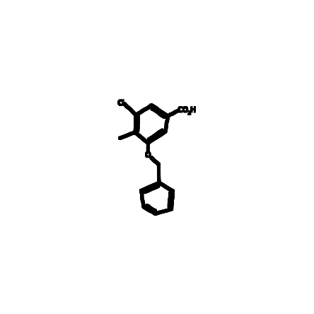 Cc1c(Cl)cc(C(=O)O)cc1OCc1ccccc1